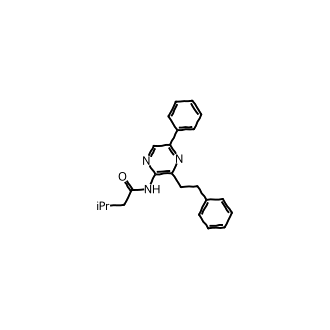 CC(C)CC(=O)Nc1ncc(-c2ccccc2)nc1CCc1ccccc1